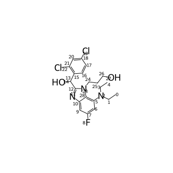 CCN(CC)c1cc(F)cc2nc(C(O)c3ccc(Cl)cc3Cl)n(CCCO)c12